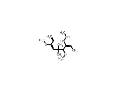 C=C/C(=C\C(C)(C)C(OC)/C(=C\C)NNC)OC